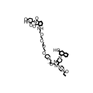 C=CC(=O)N1CCN(c2nc(O[C@H](C)CN3CCC(OCCOCCOCCOCCNc4cccc5c4C(=O)N(C4CCC(=O)NC4=O)C5=O)CC3)nc3c2CCN(c2cc(O)cc4ccccc24)C3)CC1